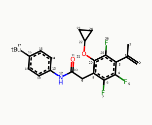 C=C(C)c1c(F)c(F)c(CC(=O)Nc2ccc(C(C)(C)C)cc2)c(OC2CC2)c1F